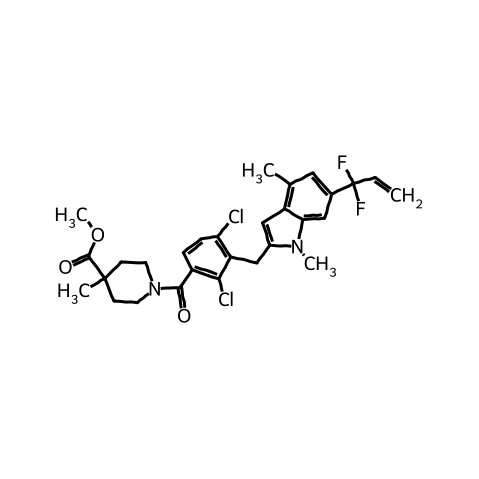 C=CC(F)(F)c1cc(C)c2cc(Cc3c(Cl)ccc(C(=O)N4CCC(C)(C(=O)OC)CC4)c3Cl)n(C)c2c1